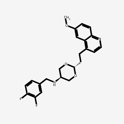 COc1ccc2nccc(CC[C@H]3OC[C@H](NCc4ccc(F)c(F)c4)CO3)c2c1